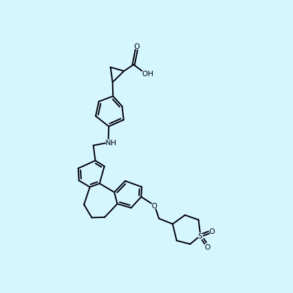 O=C(O)C1CC1c1ccc(NCc2ccc3c(c2)-c2ccc(OCC4CCS(=O)(=O)CC4)cc2CCC3)cc1